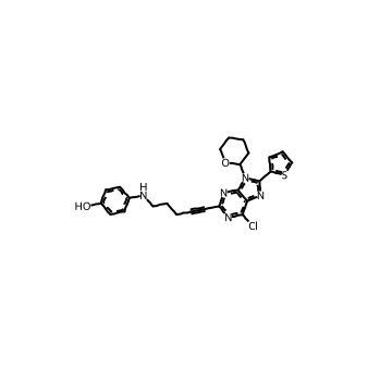 Oc1ccc(NCCCC#Cc2nc(Cl)c3nc(-c4cccs4)n(C4CCCCO4)c3n2)cc1